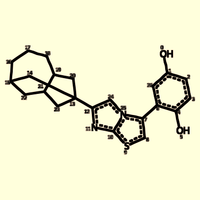 Oc1ccc(O)c(-c2csc3nc(C45CC6CCCC(C4)C(C6)C5)cn23)c1